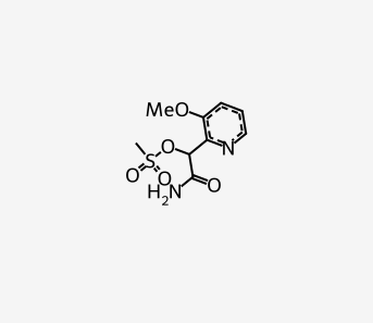 COc1cccnc1C(OS(C)(=O)=O)C(N)=O